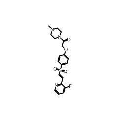 CN1CCN(C(=O)COc2ccc(S(=O)(=O)/C=C/c3ncccc3F)cc2)CC1